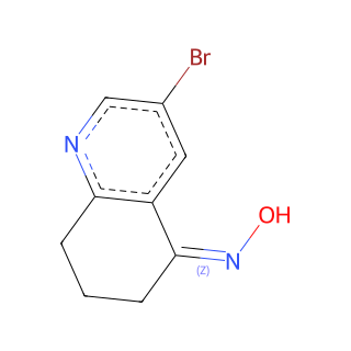 O/N=C1/CCCc2ncc(Br)cc21